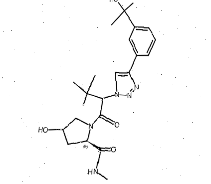 CNC(=O)[C@H]1CC(O)CN1C(=O)C(n1cc(-c2cccc(C(C)(C)O)c2)nn1)C(C)(C)C